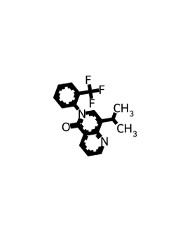 CC(C)c1cn(-c2ccccc2C(F)(F)F)c(=O)c2cccnc12